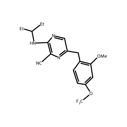 CCC(CC)Nc1ncc(Cc2ccc(OC(F)(F)F)cc2OC)nc1C#N